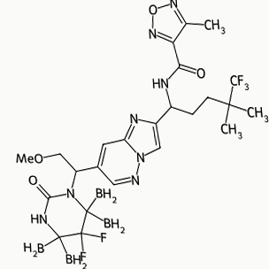 BC1(B)NC(=O)N(C(COC)c2cnn3cc(C(CCC(C)(C)C(F)(F)F)NC(=O)c4nonc4C)nc3c2)C(B)(B)C1(F)F